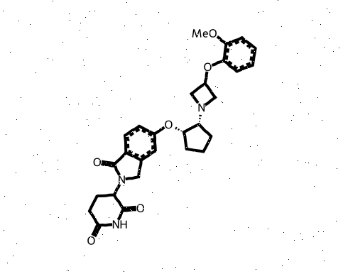 COc1ccccc1OC1CN([C@@H]2CCC[C@@H]2Oc2ccc3c(c2)CN(C2CCC(=O)NC2=O)C3=O)C1